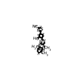 CN(c1cnc(-c2ccc(-c3nc(C#N)cs3)cc2O)nn1)[C@H]1C[C@]2(C)CC[C@@](C)(N2)[C@H]1F